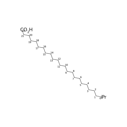 CC(C)CCCCCCCCCCCCCCCCCCCCCC(=O)O